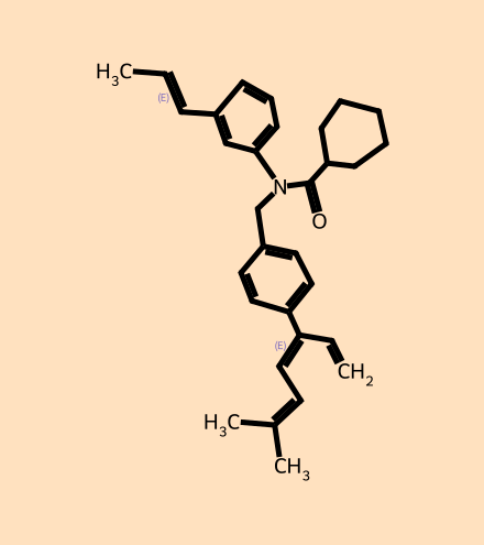 C=C/C(=C\C=C(C)C)c1ccc(CN(C(=O)C2CCCCC2)c2cccc(/C=C/C)c2)cc1